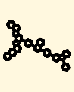 c1ccc(-n2c3ccccc3c3cc(-c4ccc(-c5ccc(-c6ccc(-c7cc8c9ccc%10ccccc%10c9sc8c8nc9c%10cc%11ccccc%11cc%10ccc9n78)cc6)c6ccccc56)cc4)ccc32)cc1